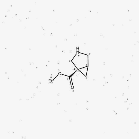 CCOC(=O)[C@@]12CNCC1C2